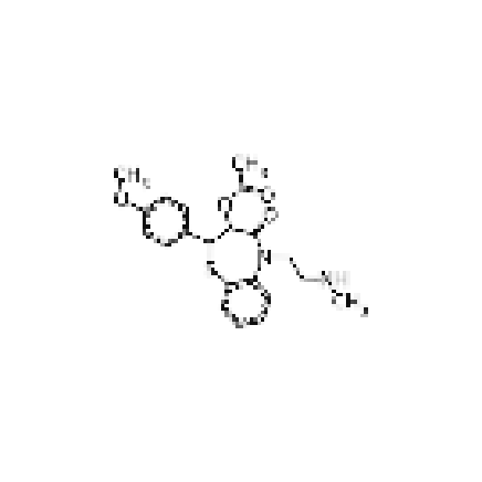 CNCCN1C(=O)C(OC(C)=O)C(c2ccc(OC)cc2)Sc2ccccc21